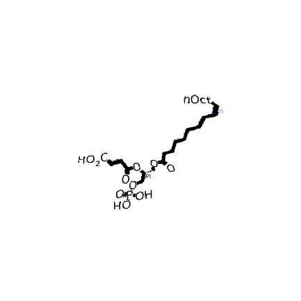 CCCCCCCC/C=C\CCCCCCCC(=O)OC[C@H](COP(=O)(O)O)OC(=O)CCC(=O)O